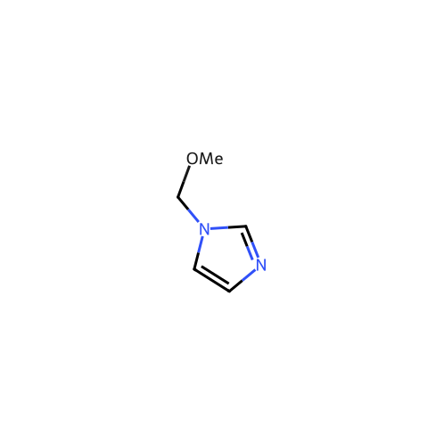 COCn1ccnc1